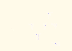 Cc1ccc(C2CCCN2c2nc3c(c(Nc4ncc(C#N)s4)n2)CNCC3)cc1